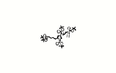 CC(C)(C)OC(=O)NCCN(C(=O)OC(C)(C)C)C1CC(CCCCB2OC(C)(C)C(C)(C)O2)N(C(=O)OC(C)(C)C)C1